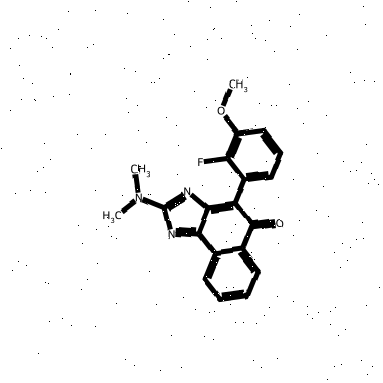 COc1cccc(C2=C3N=C(N(C)C)N=C3c3ccccc3C2=O)c1F